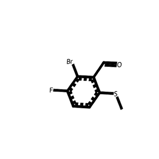 CSc1ccc(F)c(Br)c1C=O